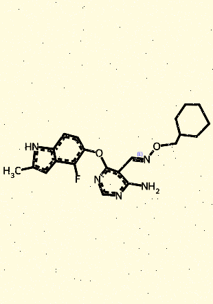 Cc1cc2c(F)c(Oc3ncnc(N)c3/C=N/OCC3CCCCC3)ccc2[nH]1